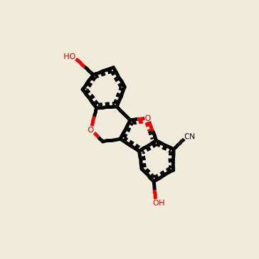 N#Cc1cc(O)cc2c3c(oc12)-c1ccc(O)cc1OC3